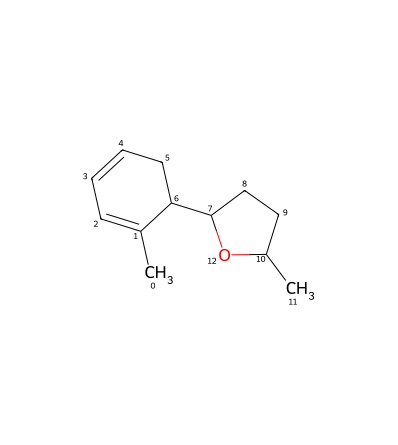 CC1=CC=CCC1C1CCC(C)O1